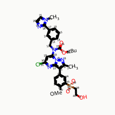 COc1ccc(-c2c(C)nn3c(N(Cc4cccc(-c5nccn5C)c4)C(=O)OC(C)(C)C)cc(Cl)nc23)cc1S(=O)(=O)CCO